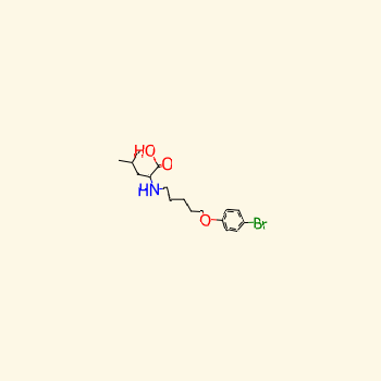 CC(C)CC(NCCCCCOc1ccc(Br)cc1)C(=O)O